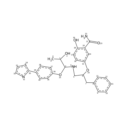 CC(O)C(NCC(Cc1ccccc1)Oc1ccc(O)c(C(N)=O)c1)Oc1ccc(-c2nccs2)cc1